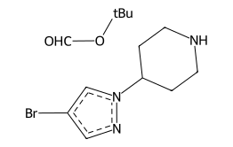 Brc1cnn(C2CCNCC2)c1.CC(C)(C)OC=O